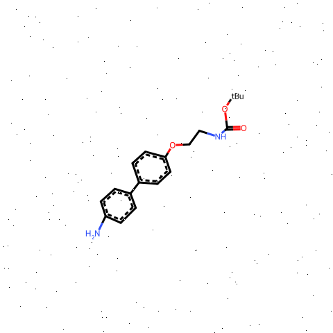 CC(C)(C)OC(=O)NCCOc1ccc(-c2ccc(N)cc2)cc1